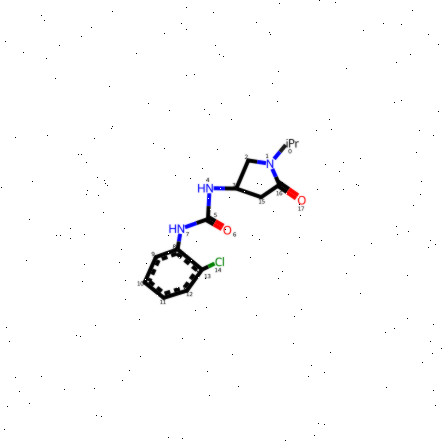 CC(C)N1CC(NC(=O)Nc2ccccc2Cl)CC1=O